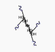 CC/C=C\C/C=C\C/C=C\CCCCCCC(O)CN(CCSSCCN1CC(C)N(CCSSCCN(CC(O)CCCCCC/C=C\C/C=C\C/C=C\CC)CC(O)CCCCCC/C=C\C/C=C\C/C=C\CC)CC1C)CC(O)CCCCCC/C=C\C/C=C\C/C=C\CC